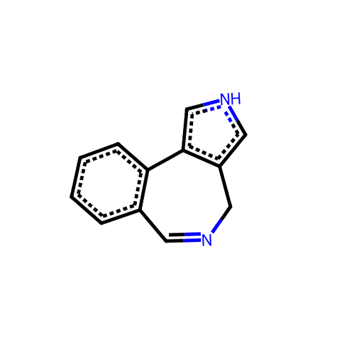 C1=NCc2c[nH]cc2-c2ccccc21